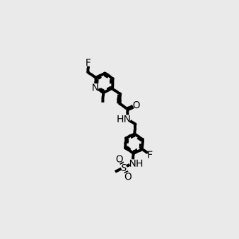 Cc1nc(CF)ccc1/C=C/C(=O)NCc1ccc(NS(C)(=O)=O)c(F)c1